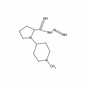 CN1CCC(N2CCCC2C(=N)NN=N)CC1